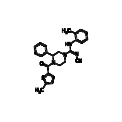 Cc1ccc(C(=O)N2CCN(/C(=N\C#N)Nc3ccccc3C)CC2c2ccccc2)s1